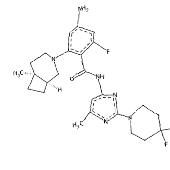 Cc1cc(NC(=O)c2c(F)cc(N)cc2N2CC[C@]3(C)CC[C@@H]3C2)nc(N2CCC(F)(F)CC2)n1